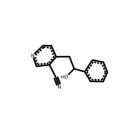 N#Cc1cnccc1CC(O)c1ccccc1